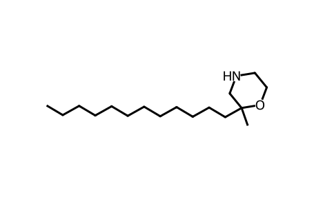 CCCCCCCCCCCCC1(C)CNCCO1